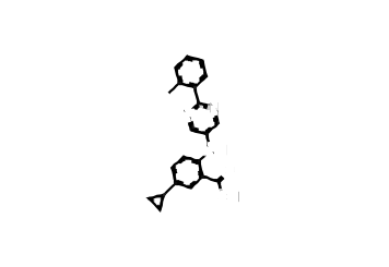 Cc1ccccc1-c1ncc(Nc2ccc(C3CC3)cc2C(=O)O)cn1